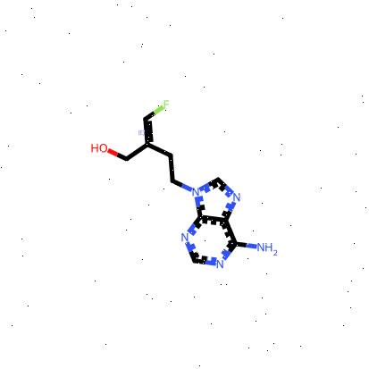 Nc1ncnc2c1ncn2CC/C(=C\F)CO